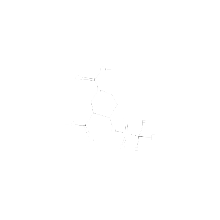 O=C(O)C1CN(C(=O)O)CCC1OS(=O)(=O)C(F)(F)F